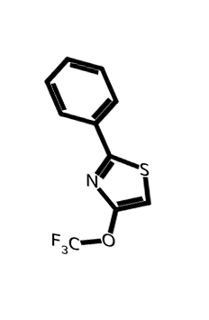 FC(F)(F)Oc1csc(-c2ccccc2)n1